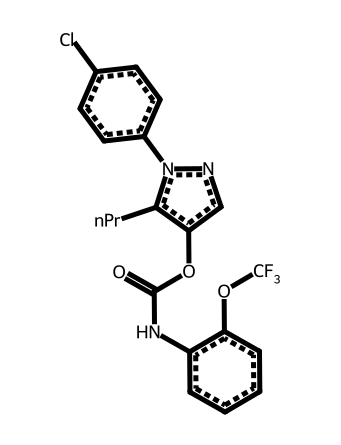 CCCc1c(OC(=O)Nc2ccccc2OC(F)(F)F)cnn1-c1ccc(Cl)cc1